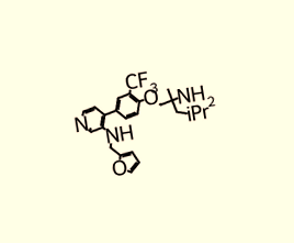 CC(C)CC(C)(N)COc1ccc(-c2ccncc2NCc2ccco2)cc1C(F)(F)F